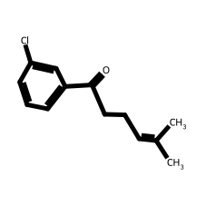 CC(C)=CCCC(=O)c1cccc(Cl)c1